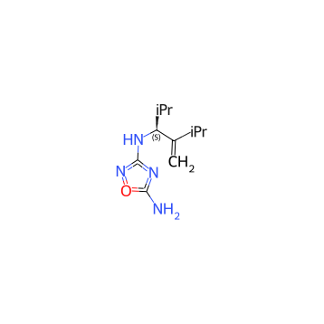 C=C(C(C)C)[C@@H](Nc1noc(N)n1)C(C)C